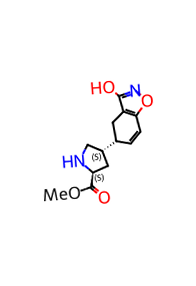 COC(=O)[C@@H]1C[C@@H](C2C=Cc3onc(O)c3C2)CN1